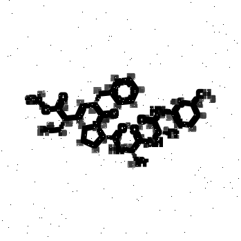 CC[C@H](NC(=O)[C@@H](NC(=O)[C@@H]1CCCN1C(=O)[C@H](/C=C/[C@H](CC(C)C)C(=O)OC(C)(C)C)Cc1ccccc1)C(C)C)C(=O)NC1=NCCC(C)S1